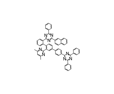 Cc1cc(C)nc(-c2cc(-c3ccc(-c4nc(-c5ccccc5)nc(-c5ccccc5)n4)cc3)ccc2-c2ccccc2-c2nc(-c3ccccc3)nc(-c3ccc4ccccc4c3)n2)n1